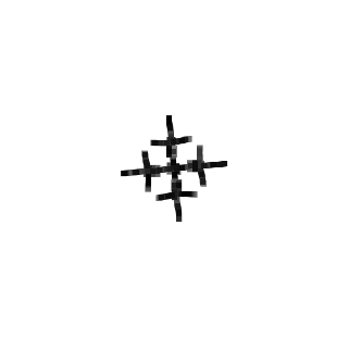 C[PH](C)(C)[Pt]([PH](C)(C)C)([PH](C)(C)C)[PH](C)(C)C